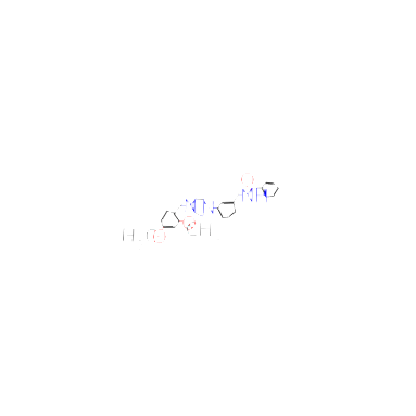 COc1ccc(CN2CCN(c3cccc(CNC(=O)c4ccccc4)c3)CC2)c(OC)c1